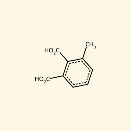 Cc1cc[c]c(C(=O)O)c1C(=O)O